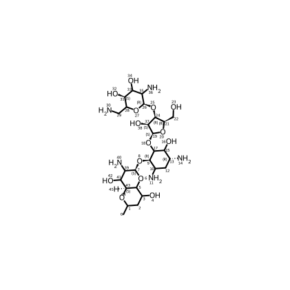 CC1CC(O)C2O[C@H](O[C@@H]3C(N)C[C@@H](N)C(O)C3O[C@@H]3O[C@H](CO)[C@H](O[C@H]4OC(CN)[C@@H](O)C(O)C4N)[C@@H]3O)C(N)C(O)[C@@H]2O1